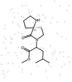 COC(=O)C(CC(C)C)N1CC[C@@]2(CCCN2)C1=O